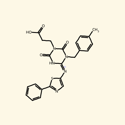 Cc1ccc(Cn2c(=O)n(CCC(=O)O)c(=O)[nH]/c2=N\c2cnc(-c3ccccc3)s2)cc1